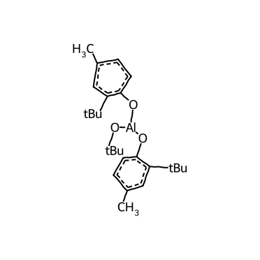 Cc1ccc([O][Al]([O]c2ccc(C)cc2C(C)(C)C)[O]C(C)(C)C)c(C(C)(C)C)c1